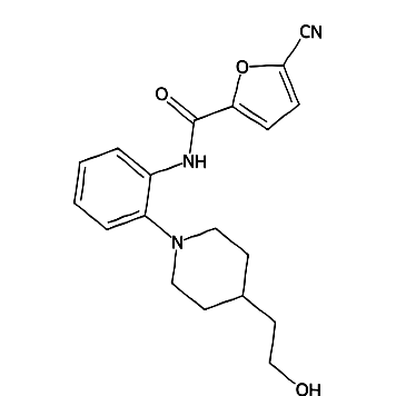 N#Cc1ccc(C(=O)Nc2ccccc2N2CCC(CCO)CC2)o1